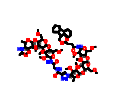 COCC1OC(NC(=O)CNC(=O)c2cn([C@@H]3C(C)O[C@@H](O[C@H]4C(COC)O[C@@H](O[C@H]5C(COC)OC(NC(=O)CCC(=O)OCC6c7ccccc7-c7ccccc76)C(OC)[C@@H]5OC)C(OC)[C@@H]4OC)C(OC)[C@@H]3OC)nn2)C(OC)[C@H](OC)[C@H]1O[C@@H]1OC(COC)[C@H](O[C@@H]2OC(C)[C@@H](NC(C)=O)[C@@H](OC)C2OC)[C@@H](OC)C1OC